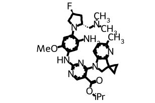 COc1cc(N2C[C@@H](F)C[C@@H]2CN(C)C)c(N)cc1Nc1ncc(C(=O)OC(C)C)c(N2CC3(CC3)c3nc(C)ccc32)n1